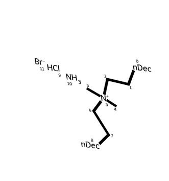 CCCCCCCCCCCC[N+](C)(C)CCCCCCCCCCCC.Cl.N.[Br-]